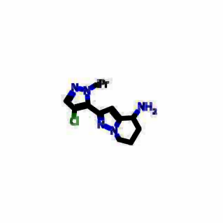 CC(C)n1ncc(Cl)c1-c1cc2n(n1)CCCC2N